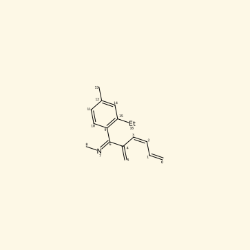 C=C/C=C\C(=C)/C(=N/C)c1ccc(C)cc1CC